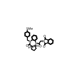 CSc1ccc(CN2C(=O)[C@H]3CCC[C@H]3N(C(=O)CN3C(=O)c4ccccc4C3=O)c3ccccc32)cc1